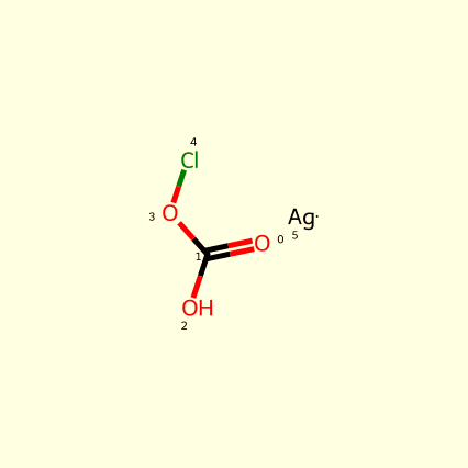 O=C(O)OCl.[Ag]